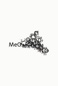 COc1ccc(S(=O)(=O)N2C(=O)C(c3ccc(CN4CCOCC4)cc3OC)(N3CCC[C@H]3c3ncco3)c3cc(Cl)ccc32)cc1